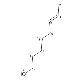 CC=CCOCCCO